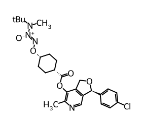 Cc1ncc2c(c1OC(=O)[C@H]1CC[C@@H](ON=[N+]([O-])N(C)C(C)(C)C)CC1)CO[C@H]2c1ccc(Cl)cc1